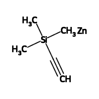 C#C[Si](C)(C)C.[Zn]